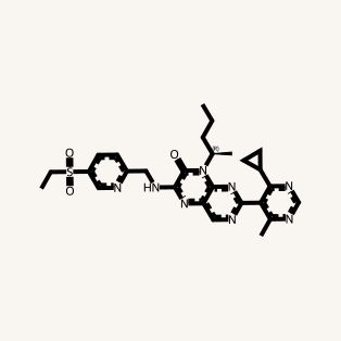 CCC[C@@H](C)n1c(=O)c(NCc2ccc(S(=O)(=O)CC)cn2)nc2cnc(-c3c(C)ncnc3C3CC3)nc21